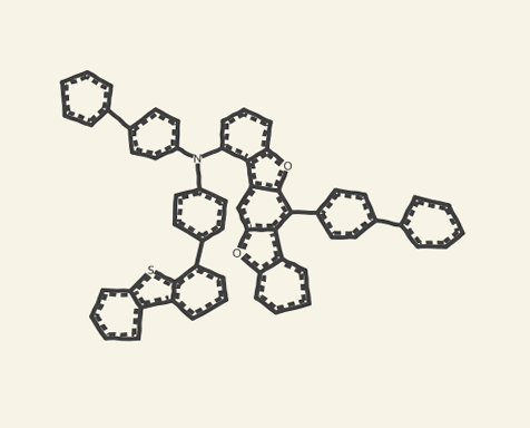 c1ccc(-c2ccc(-c3c4oc5cccc(N(c6ccc(-c7ccccc7)cc6)c6ccc(-c7cccc8c7sc7ccccc78)cc6)c5c4cc4oc5ccccc5c34)cc2)cc1